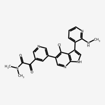 CNc1ncccc1-c1c[nH]c2ncc(-c3cncc(C(=O)C(=O)N(C)C)c3)c(Cl)c12